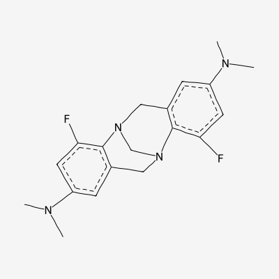 CN(C)c1cc(F)c2c(c1)CN1CN2Cc2cc(N(C)C)cc(F)c21